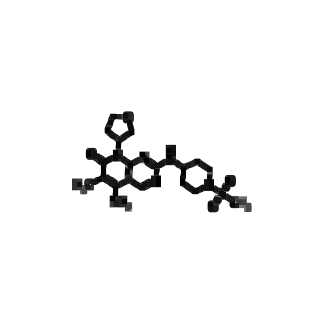 Cc1c(N)c2cnc(NC3CCN(S(C)(=O)=O)CC3)nc2n(C2CCOC2)c1=O